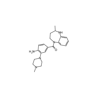 CC1CCN(C(=O)c2ccc(N)c(N3CCN(C)CC3)c2)c2ccccc2N1